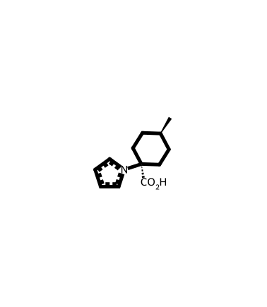 C[C@H]1CC[C@@](C(=O)O)(n2cccc2)CC1